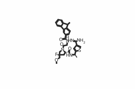 COC[C@@]1(F)C[C@@H](C(=O)N[C@H](C)c2cc(C(=N)N)cs2)N(C(=O)CNC(=O)c2ccc3c(c2)-c2ccccc2C3C)C1